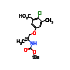 Cc1cc(OC[C@H](C)NC(=O)OC(C)(C)C)cc(C(=O)O)c1Cl